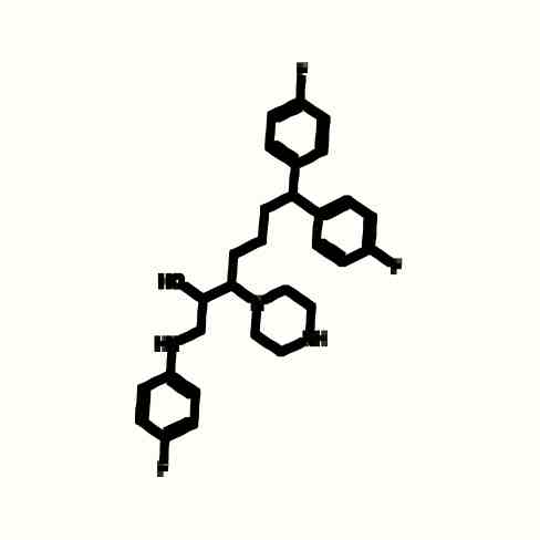 OC(CNc1ccc(F)cc1)C(CCCC(c1ccc(F)cc1)c1ccc(F)cc1)N1CCNCC1